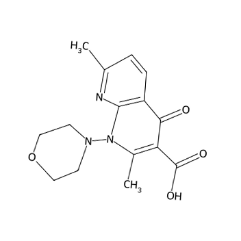 Cc1ccc2c(=O)c(C(=O)O)c(C)n(N3CCOCC3)c2n1